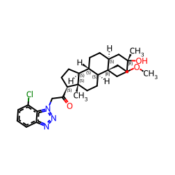 COCC[C@]12CC[C@@](C)(O)C[C@@H]1CC[C@H]1[C@@H]3CC[C@H](C(=O)Cn4nnc5cccc(Cl)c54)[C@@]3(C)CC[C@@H]12